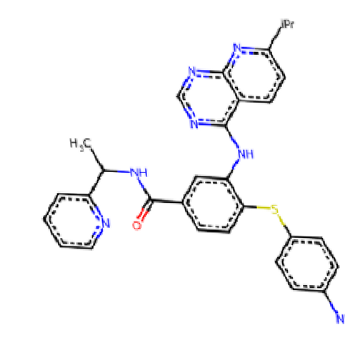 CC(C)c1ccc2c(Nc3cc(C(=O)NC(C)c4ccccn4)ccc3Sc3ccc(N)cc3)ncnc2n1